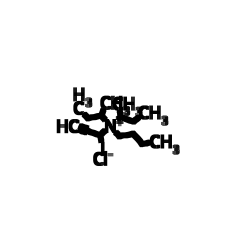 C#CC(I)[N+](CCCC)(C(C)CC)C(C)CC.[Cl-]